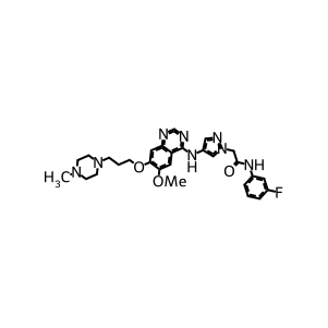 COc1cc2c(Nc3cnn(CC(=O)Nc4cccc(F)c4)c3)ncnc2cc1OCCCN1CCN(C)CC1